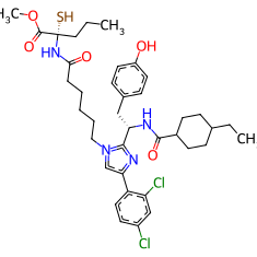 CCC[C@@](S)(NC(=O)CCCCCn1cc(-c2ccc(Cl)cc2Cl)nc1[C@H](Cc1ccc(O)cc1)NC(=O)C1CCC(CC)CC1)C(=O)OC